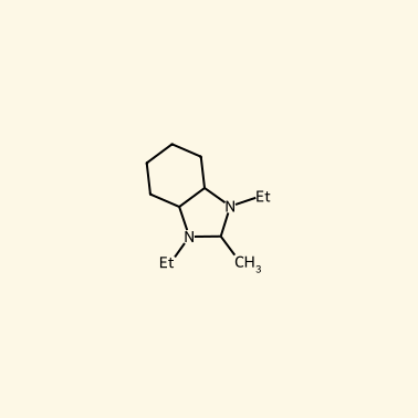 CCN1C2CCCCC2N(CC)C1C